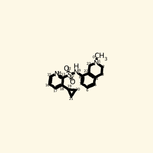 CN1CCc2cccc(NS(=O)(=O)c3ncccc3C3CC3)c2C1